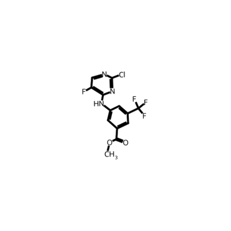 COC(=O)c1cc(Nc2nc(Cl)ncc2F)cc(C(F)(F)F)c1